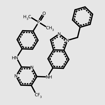 CP(C)(=O)c1ccc(Nc2ncc(C(F)(F)F)c(Nc3ccc4c(cnn4Cc4ccccc4)c3)n2)cc1